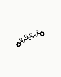 O=C(OCCC(Cl)OC(Cl)CCOC(=O)c1ccccc1)c1ccccc1